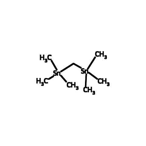 [CH3][Sn]([CH3])([CH3])[CH2][Sn]([CH3])([CH3])[CH3]